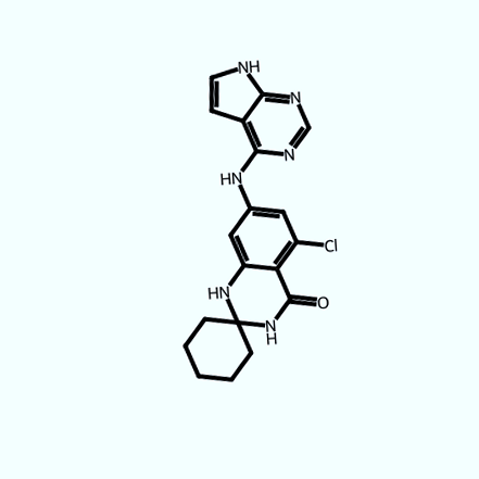 O=C1NC2(CCCCC2)Nc2cc(Nc3ncnc4[nH]ccc34)cc(Cl)c21